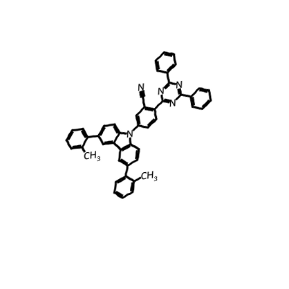 Cc1ccccc1-c1ccc2c(c1)c1cc(-c3ccccc3C)ccc1n2-c1ccc(-c2nc(-c3ccccc3)nc(-c3ccccc3)n2)c(C#N)c1